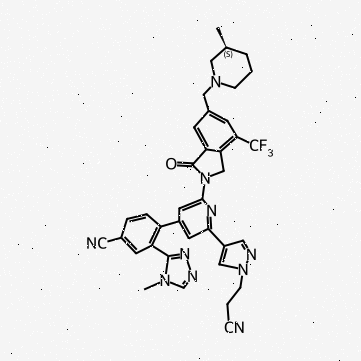 C[C@H]1CCCN(Cc2cc3c(c(C(F)(F)F)c2)CN(c2cc(-c4ccc(C#N)cc4-c4nncn4C)cc(-c4cnn(CCC#N)c4)n2)C3=O)C1